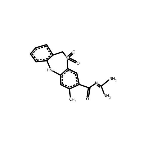 Cc1cc2c(cc1C(=O)N=C(N)N)S(=O)(=O)Cc1ccccc1N2